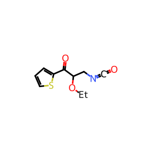 CCOC(CN=C=O)C(=O)c1cccs1